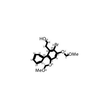 COCOc1cc(OCOC)c(-c2ccccc2)c(CCO)c1Br